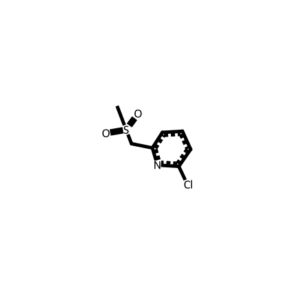 CS(=O)(=O)Cc1cccc(Cl)n1